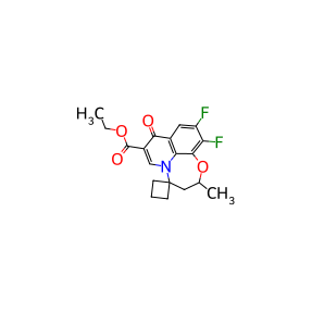 CCOC(=O)c1cn2c3c(c(F)c(F)cc3c1=O)OC(C)CC21CCC1